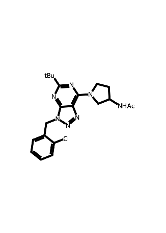 CC(=O)NC1CCN(c2nc(C(C)(C)C)nc3c2nnn3Cc2ccccc2Cl)C1